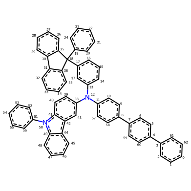 c1ccc(-c2ccc(-c3ccc(N(c4cccc(C5(c6ccccc6)c6ccccc6-c6ccccc65)c4)c4ccc5c(c4)c4ccccc4n5-c4ccccc4)cc3)cc2)cc1